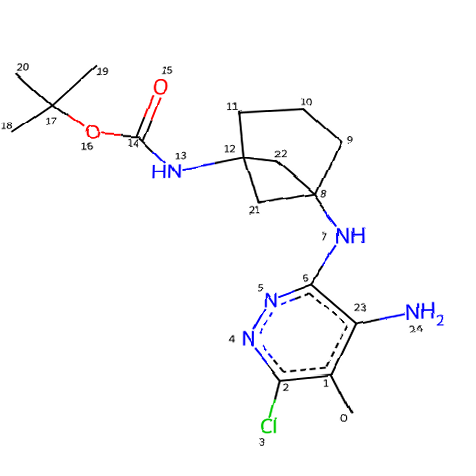 Cc1c(Cl)nnc(NC23CCCC(NC(=O)OC(C)(C)C)(C2)C3)c1N